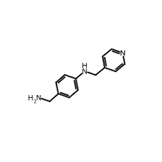 NCc1ccc(NCc2ccncc2)cc1